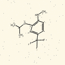 CNc1ccc(C(F)(F)F)nc1OC(C)C